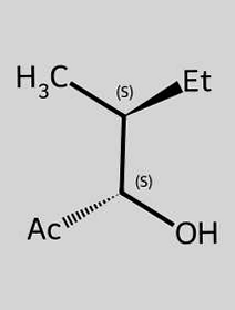 CC[C@H](C)[C@H](O)C(C)=O